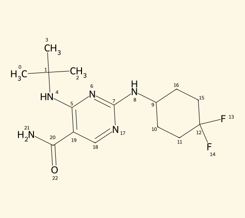 CC(C)(C)Nc1nc(NC2CCC(F)(F)CC2)ncc1C(N)=O